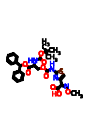 CO/N=C(\C(=O)O)c1csc(NC(=O)OCC(NC(=O)OC(C)(C)C)C(=O)OC(c2ccccc2)c2ccccc2)n1